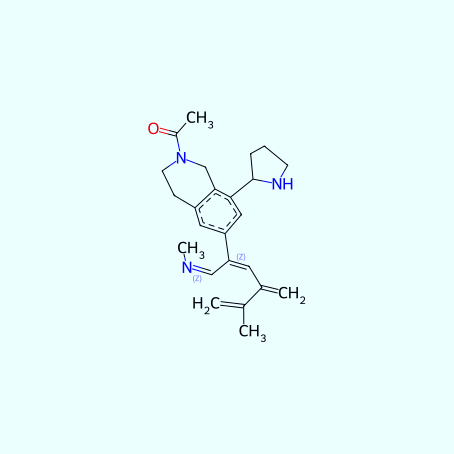 C=C(C)C(=C)/C=C(\C=N/C)c1cc2c(c(C3CCCN3)c1)CN(C(C)=O)CC2